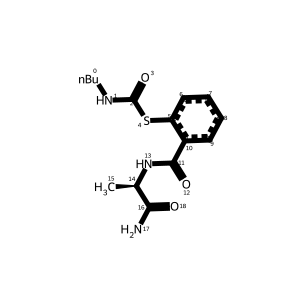 CCCCNC(=O)Sc1ccccc1C(=O)N[C@H](C)C(N)=O